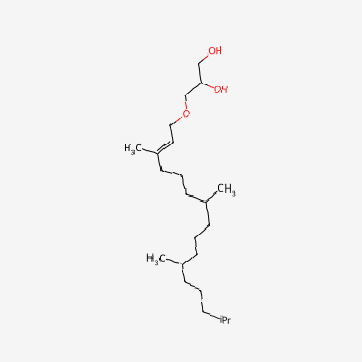 CC(=CCOCC(O)CO)CCCC(C)CCCC(C)CCCC(C)C